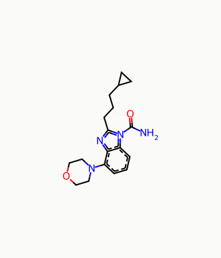 NC(=O)n1c(CCCC2CC2)nc2c(N3CCOCC3)cccc21